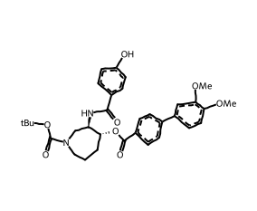 COc1ccc(-c2ccc(C(=O)O[C@@H]3CCCN(C(=O)OC(C)(C)C)C[C@H]3NC(=O)c3ccc(O)cc3)cc2)cc1OC